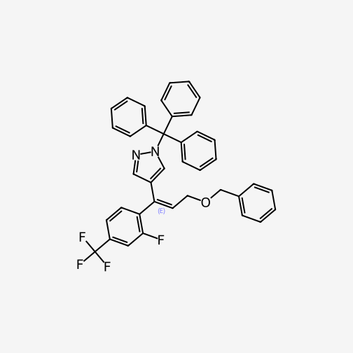 Fc1cc(C(F)(F)F)ccc1/C(=C/COCc1ccccc1)c1cnn(C(c2ccccc2)(c2ccccc2)c2ccccc2)c1